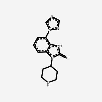 O=c1[nH]c2c(-n3cncn3)cccc2n1C1CCNCC1